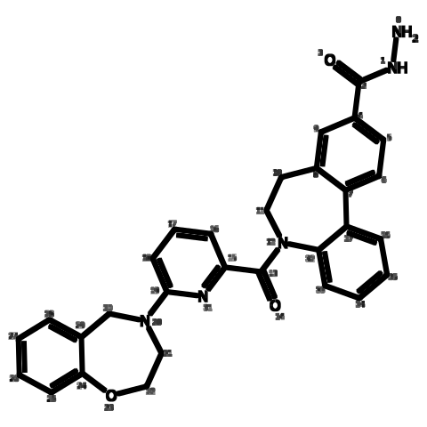 NNC(=O)c1ccc2c(c1)CCN(C(=O)c1cccc(N3CCOc4ccccc4C3)n1)c1ccccc1-2